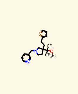 CCOC(C(F)(F)F)(C(F)(F)F)C1(CCc2cccs2)CCN(Cc2cccnc2)C1